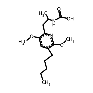 CCCCCc1cc(OC)c(CC(C)NC(=O)O)nc1OC